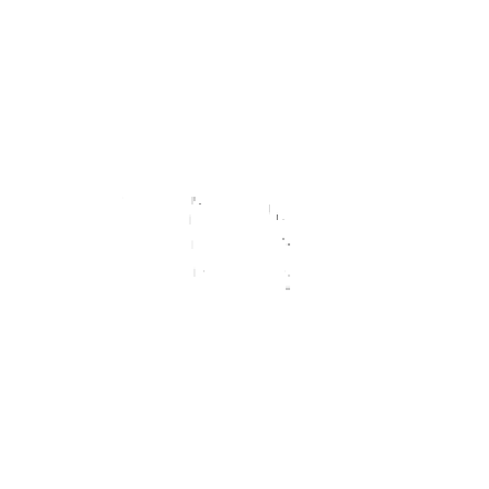 CCCC[N-]CCCC.CCCC[N-]CCCC.CCCC[N-]CCCC.CCCC[N-]CCCC.[Al+3].[Li+]